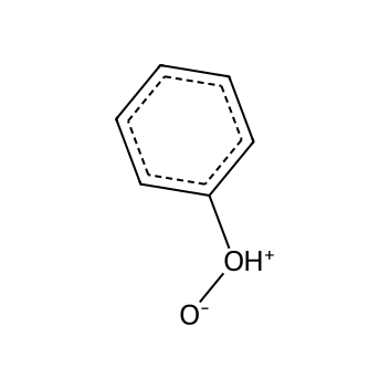 [O-][OH+]c1ccccc1